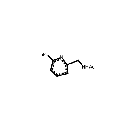 CC(=O)NCc1cccc(C(C)C)n1